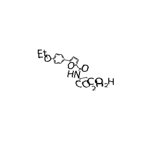 CCOc1ccc(-c2ccc(C(=O)N[C@@H](CC(=O)O)C(=O)O)o2)cc1